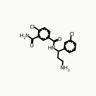 NCCC(NC(=O)c1ccc(Cl)c(C(N)=O)c1)c1cccc(Cl)c1